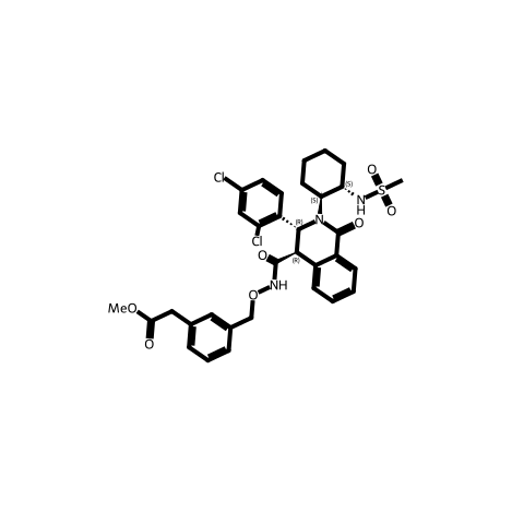 COC(=O)Cc1cccc(CONC(=O)[C@@H]2c3ccccc3C(=O)N([C@H]3CCCC[C@@H]3NS(C)(=O)=O)[C@H]2c2ccc(Cl)cc2Cl)c1